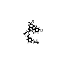 Cc1nc2cc(N3CCO[C@@H](c4ccnc(OCC(F)(F)F)c4)C3)nc(-c3ccc(Cl)cc3F)c2c(=O)n1C